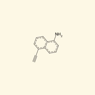 C#Cc1cccc2c(N)cccc12